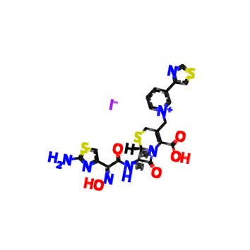 Nc1nc(C(=NO)C(=O)N[C@@H]2C(=O)N3C(C(=O)O)=C(C[n+]4cccc(-c5cscn5)c4)CS[C@@H]23)cs1.[I-]